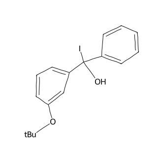 CC(C)(C)Oc1cccc(C(O)(I)c2ccccc2)c1